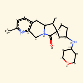 CC1C2Cc3ccc(C(F)(F)F)nc3CN2C(=O)[C@]12CCC(NC1CCOCC1)C2